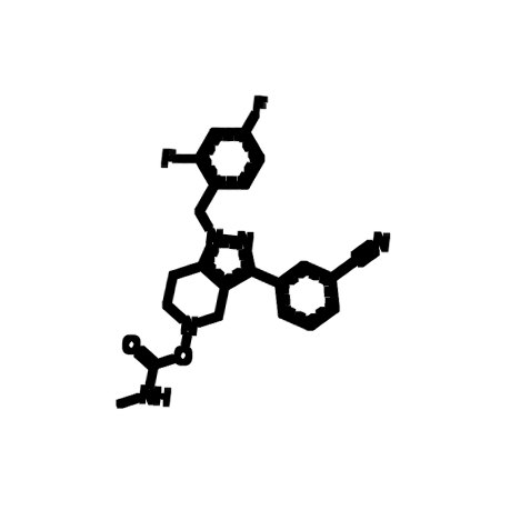 CNC(=O)ON1CCc2c(c(-c3cccc(C#N)c3)nn2Cc2ccc(F)cc2F)C1